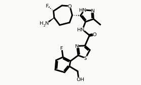 Cc1n[nH]c([C@@H]2CC[C@@H](N)[C@H](F)CO2)c1NC(=O)c1csc(-c2c(F)cccc2CO)n1